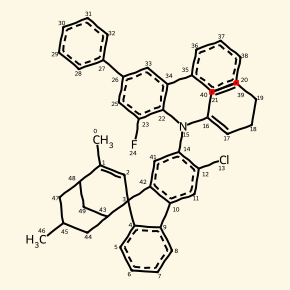 CC1=CC2(c3ccccc3-c3cc(Cl)c(N(C4=CCCC=C4)c4c(F)cc(-c5ccccc5)cc4-c4ccccc4)cc32)C2CC(C)CC1C2